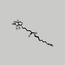 [N-]=[N+]=NCCCCCCNC(=O)CCCC[C@@H]1SC[C@@H]2NC(=O)N[C@@H]21